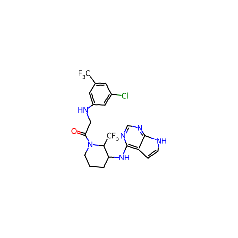 O=C(CNc1cc(Cl)cc(C(F)(F)F)c1)N1CCCC(Nc2ncnc3[nH]ccc23)C1C(F)(F)F